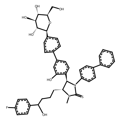 CN1C(=S)N(c2ccc(-c3ccccc3)cc2)[C@H](c2ccc(-c3ccc([C@@H]4O[C@H](CO)[C@@H](O)[C@H](O)[C@H]4O)cc3)cc2O)[C@H]1CCCC(O)c1ccc(F)cc1